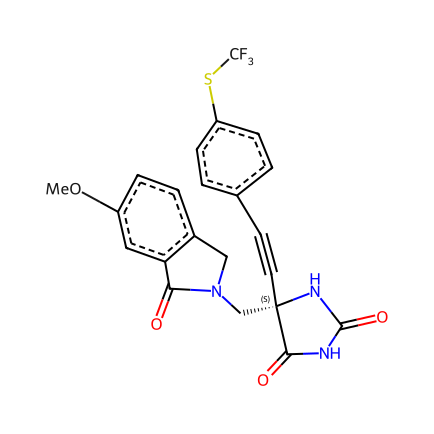 COc1ccc2c(c1)C(=O)N(C[C@]1(C#Cc3ccc(SC(F)(F)F)cc3)NC(=O)NC1=O)C2